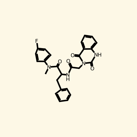 CN(C(=O)C(Cc1ccccc1)NC(=O)Cn1c(=O)[nH]c2ccccc2c1=O)c1ccc(F)cc1